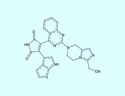 O=C1NC(=O)C(c2c[nH]c3sccc23)=C1c1nc(N2CCn3c(cnc3CO)C2)nc2ccccc12